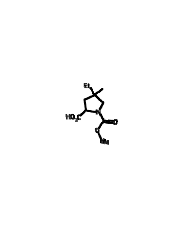 CCCCOC(=O)N1CC(C)(CC)CC1C(=O)O